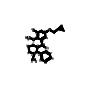 COc1c(F)cc(OCC2CC2)cc1C(F)C1CCCN(N)C1c1ccccc1